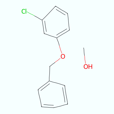 CO.Clc1cccc(OCc2ccccc2)c1